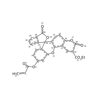 C=CC(=O)Oc1ccc2c(c1)Oc1c(ccc3oc(=O)c(C(=O)OCC)cc13)C21OC(=O)c2ccccc21